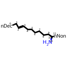 CCCCCCCCCCCC=CCCCCCCC(N)CCCCCCCCC